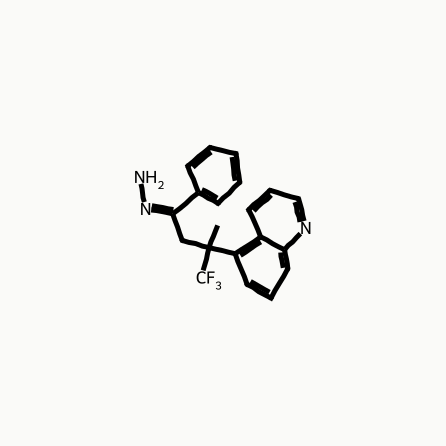 CC(C/C(=N/N)c1ccccc1)(c1cccc2ncccc12)C(F)(F)F